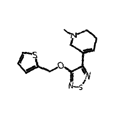 CN1CCC=C(c2nsnc2OCc2cccs2)C1